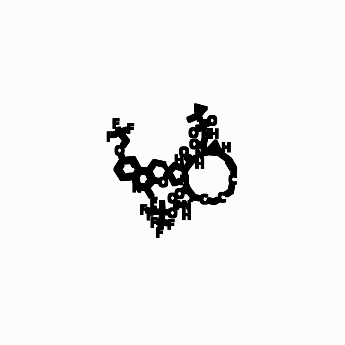 Cc1nc2ccc(OCC(F)(F)F)cc2c2c1O[C@]1(CC2)C[C@H]2C(=O)N[C@]3(C(=O)NS(=O)(=O)C4(C)CC4)C[C@H]3/C=C\CCCCC[C@H](NC(=O)OC(C)(C(F)(F)F)C(F)(F)F)C(=O)N2C1